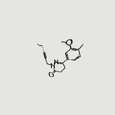 CCC#CCN1N=C(c2ccc(C)c(OC)c2)CCC1=O